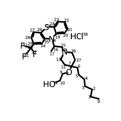 CCCCCCCC1(OCCO)CCN(CC(C)N2c3ccccc3Sc3ccc(C(F)(F)F)cc32)CC1.Cl